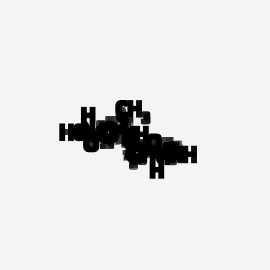 CCC[C@@H](NCc1cccc(C(=O)NC2CCNC2)c1)c1ccc(C(=O)NO)cc1